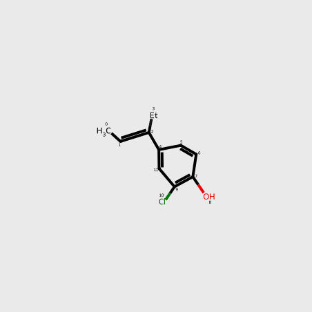 CC=C(CC)c1ccc(O)c(Cl)c1